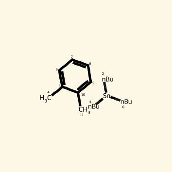 CCC[CH2][Sn]([CH2]CCC)[CH2]CCC.Cc1ccccc1C